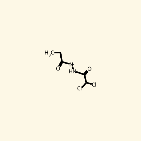 CCC(=O)[N]NC(=O)C(Cl)Cl